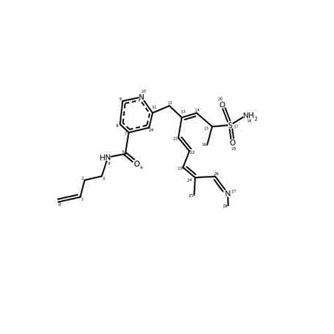 C=CCCNC(=O)c1ccnc(CC(=C/C(C)S(N)(=O)=O)/C=C/C=C(C)\C=N/C)c1